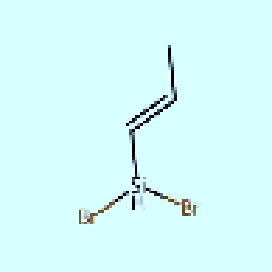 CC=C[SiH](Br)Br